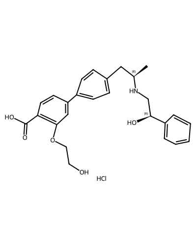 C[C@H](Cc1ccc(-c2ccc(C(=O)O)c(OCCO)c2)cc1)NC[C@H](O)c1ccccc1.Cl